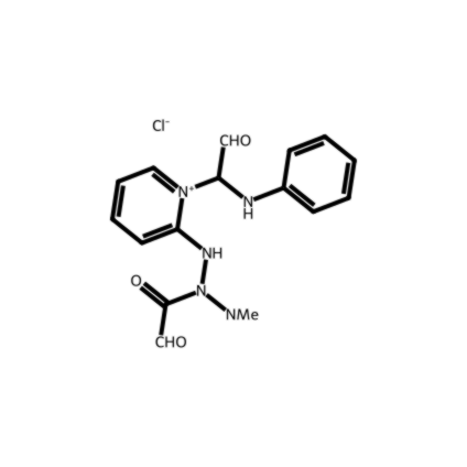 CNN(Nc1cccc[n+]1C(C=O)Nc1ccccc1)C(=O)C=O.[Cl-]